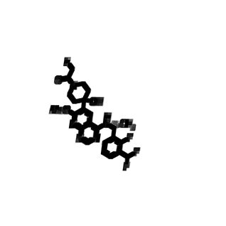 COc1nc2ncnc(N[C@H](C)c3cccc(C(F)F)c3F)c2cc1C1(O)CCN(C(=O)CF)CC1